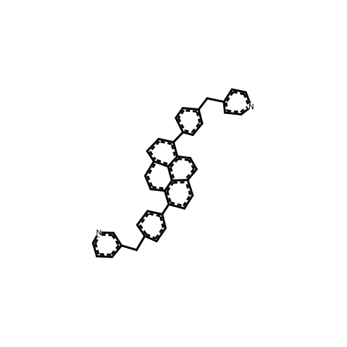 c1cncc(Cc2ccc(-c3ccc4ccc5c(-c6ccc(Cc7ccncc7)cc6)ccc6ccc3c4c65)cc2)c1